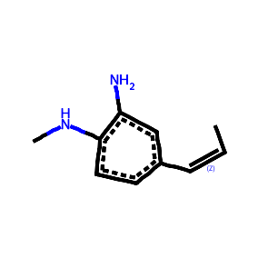 C/C=C\c1ccc(NC)c(N)c1